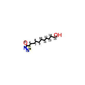 O=C1N=NSC1CCCCCCCCCCO